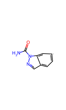 NC(=O)n1ncc2cc[c]cc21